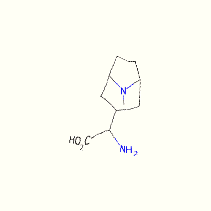 CN1C2CCC1CC(C(N)C(=O)O)C2